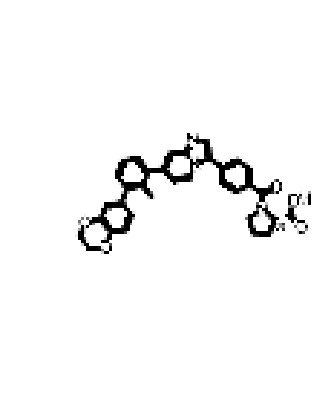 Cc1c(-c2ccc3c(c2)OCCO3)cccc1-c1ccn2c(-c3ccc(C(=O)N4CCC[C@H]4C(=O)O)cc3)cnc2c1